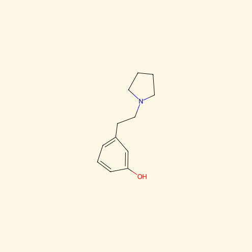 Oc1cccc(CCN2CCCC2)c1